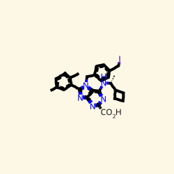 Cc1ccc(C)c(-c2nc3nc(C(=O)O)nc(N[C@H](C)C4CCC4)c3n2Cc2ccc(CI)cc2)c1